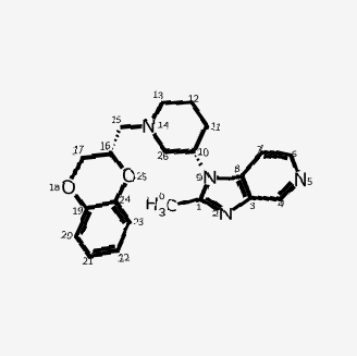 Cc1nc2cnccc2n1[C@H]1CCCN(C[C@H]2COc3ccccc3O2)C1